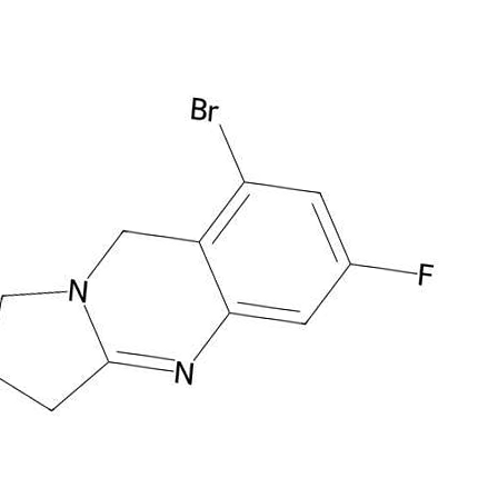 Fc1cc(Br)c2c(c1)N=C1CCCN1C2